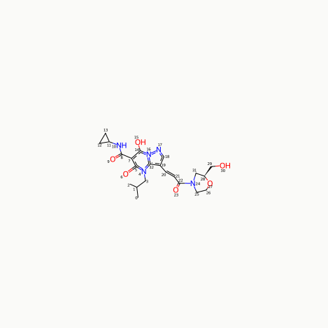 CC(C)Cn1c(=O)c(C(=O)NC2CC2)c(O)n2ncc(/C=C/C(=O)N3CCO[C@H](CO)C3)c12